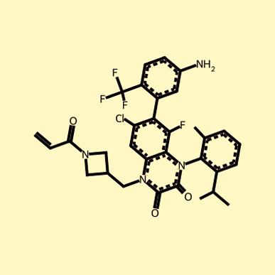 C=CC(=O)N1CC(Cn2c(=O)c(=O)n(-c3c(C)cccc3C(C)C)c3c(F)c(-c4cc(N)ccc4C(F)(F)F)c(Cl)cc32)C1